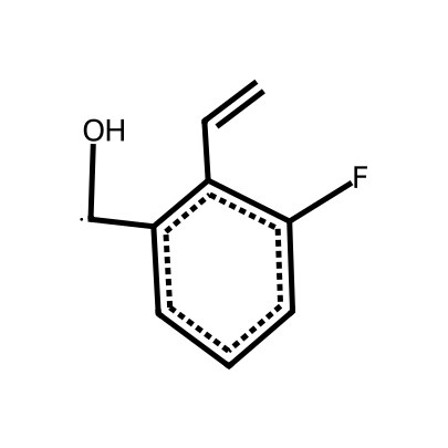 C=Cc1c(F)cccc1[CH]O